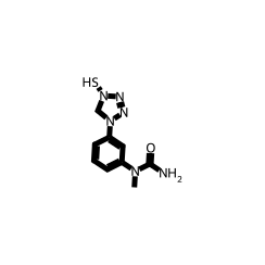 CN(C(N)=O)c1cccc(N2CN(S)N=N2)c1